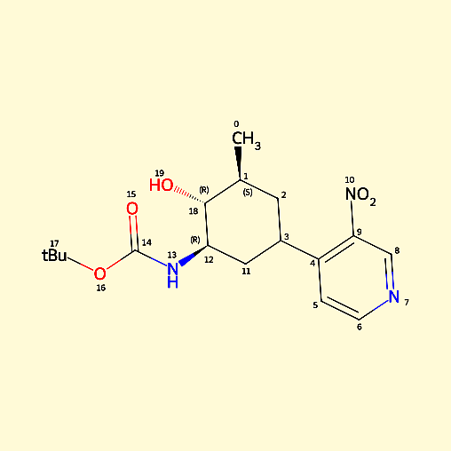 C[C@H]1CC(c2ccncc2[N+](=O)[O-])C[C@@H](NC(=O)OC(C)(C)C)[C@@H]1O